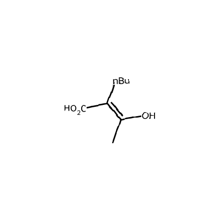 CCCCC(C(=O)O)=C(C)O